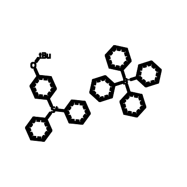 CC(C)(C)Oc1ccc([S+](c2ccccc2)c2ccccc2)cc1.c1ccc([B-](c2ccccc2)(c2ccccc2)c2ccccc2)cc1